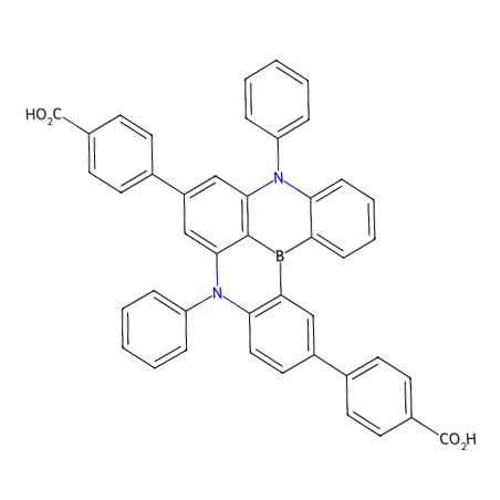 O=C(O)c1ccc(-c2ccc3c(c2)B2c4ccccc4N(c4ccccc4)c4cc(-c5ccc(C(=O)O)cc5)cc(c42)N3c2ccccc2)cc1